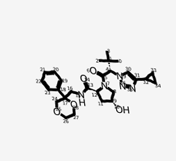 CC(C)(C)[C@@H](C(=O)N1C[C@H](O)C[C@H]1C(=O)NCC1(c2ccccc2)COCCO1)n1cc(C2CC2)nn1